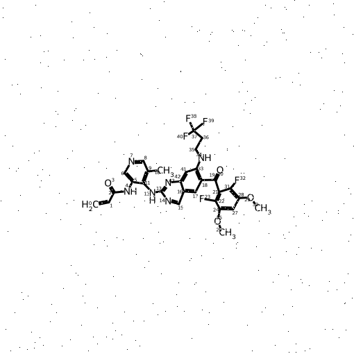 C=CC(=O)Nc1cncc(C)c1Nc1ncc2cc(C(=O)c3c(F)c(OC)cc(OC)c3F)c(NCCC(F)(F)F)cc2n1